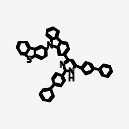 C1=C(c2ccc(-c3ccccc3)cc2)NC(c2ccc(-c3ccccc3)cc2)N=C1c1ccc2c3ccccc3n(-c3ccc4sc5ccccc5c4c3)c2c1